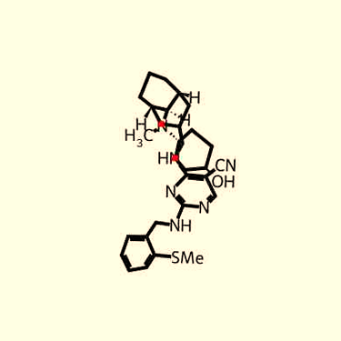 CSc1ccccc1CNc1ncc(C#N)c(NCC2C[C@H]3CCC[C@@H](C2)[C@@H]3N(C)[C@H]2CC[C@H](O)CC2)n1